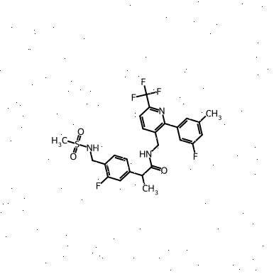 Cc1cc(F)cc(-c2nc(C(F)(F)F)ccc2CNC(=O)C(C)c2ccc(CNS(C)(=O)=O)c(F)c2)c1